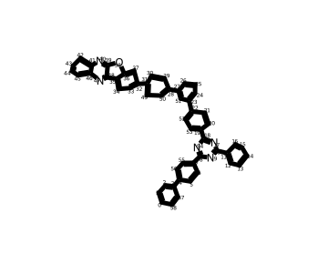 c1ccc(-c2ccc(-c3nc(-c4ccccc4)nc(-c4ccc(-c5cccc(-c6ccc(-c7ccc8c(c7)oc7nc9ccccc9nc78)cc6)c5)cc4)n3)cc2)cc1